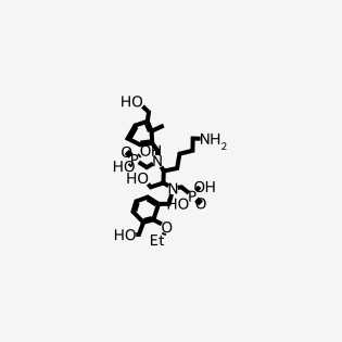 CCOc1c(CO)cccc1CN(CP(=O)(O)O)C(CO)C(CCCCN)N(Cc1cccc(CO)c1C)CP(=O)(O)O